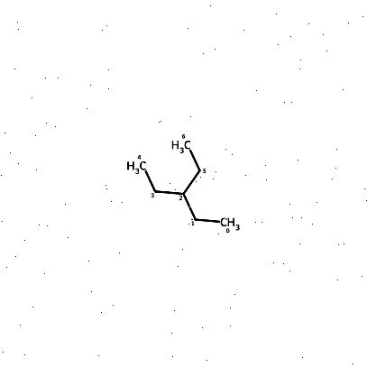 C[CH]C(CC)CC